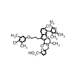 Cc1cc(OCCCc2c3n(c4c(-c5c(C)nn(C)c5C)c(Cl)ccc24)C[C@@H](C)N(Cc2ccc(C(=O)O)o2)C3=O)cc(C)c1Cl